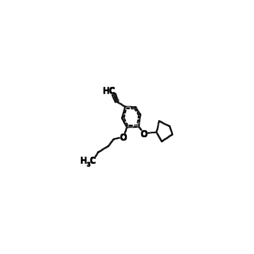 C#Cc1ccc(OC2CCCC2)c(OCCCC)c1